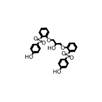 O=S(=O)(c1ccc(O)cc1)c1ccccc1OCC(O)COc1ccccc1S(=O)(=O)c1ccc(O)cc1